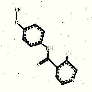 FC(F)(F)Oc1ccc(NC(=S)c2ccncc2Cl)cc1